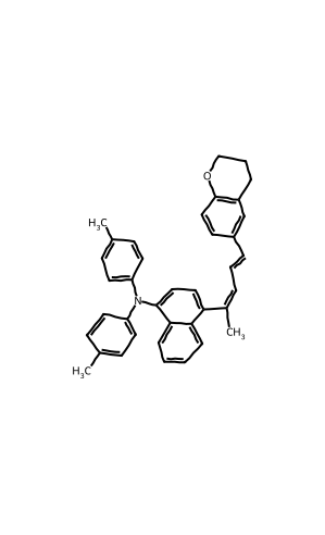 CC(=CC=Cc1ccc2c(c1)CCCO2)c1ccc(N(c2ccc(C)cc2)c2ccc(C)cc2)c2ccccc12